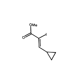 COC(=O)C(I)=CC1CC1